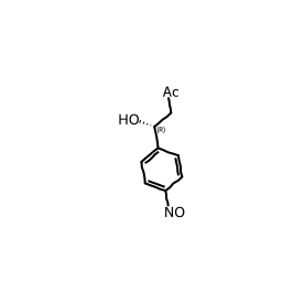 CC(=O)C[C@@H](O)c1ccc(N=O)cc1